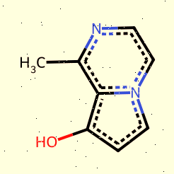 Cc1nccn2ccc(O)c12